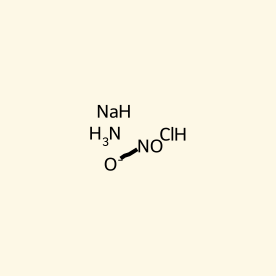 Cl.N.O=[NH+][O-].[NaH]